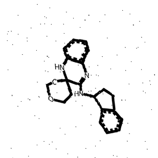 c1ccc2c(c1)CCC2NC1=Nc2ccccc2NC12CCOCC2